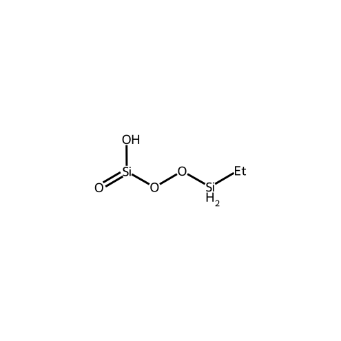 CC[SiH2]OO[Si](=O)O